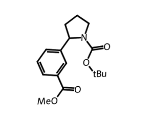 COC(=O)c1cccc(C2CCCN2C(=O)OC(C)(C)C)c1